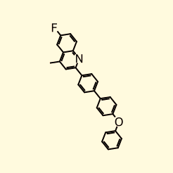 Cc1cc(-c2ccc(-c3ccc(Oc4ccccc4)cc3)cc2)nc2ccc(F)cc12